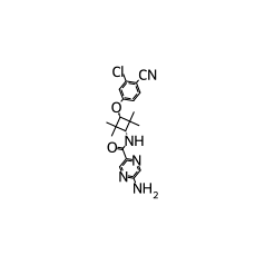 CC1(C)[C@H](NC(=O)c2cnc(N)cn2)C(C)(C)[C@H]1Oc1ccc(C#N)c(Cl)c1